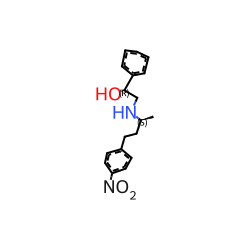 C[C@@H](CCc1ccc([N+](=O)[O-])cc1)NC[C@H](O)c1ccccc1